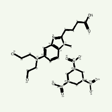 Cn1c(CCCC(=O)O)nc2cc(N(CCCl)CCCl)ccc21.O=[N+]([O-])N1CN([N+](=O)[O-])CN([N+](=O)[O-])C1